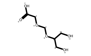 O=C(O)COCOC(CO)CO